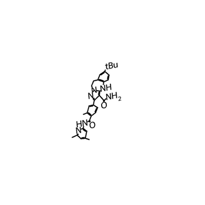 Cc1cc(C)nc(NC(=O)c2ccc(-c3nn4c(c3C(N)=O)Nc3ccc(C(C)(C)C)cc3CC4)cc2C)c1